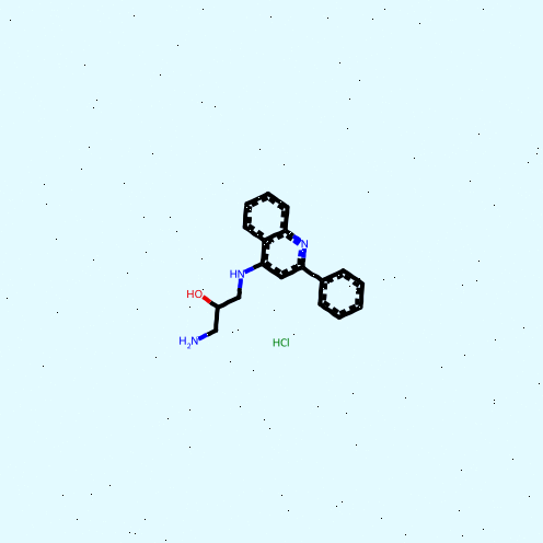 Cl.NCC(O)CNc1cc(-c2ccccc2)nc2ccccc12